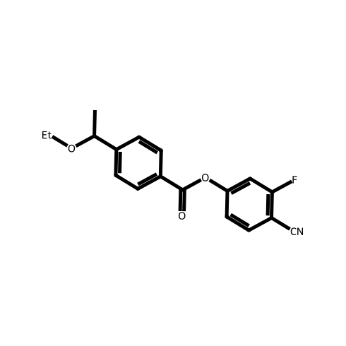 CCOC(C)c1ccc(C(=O)Oc2ccc(C#N)c(F)c2)cc1